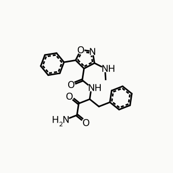 CNc1noc(-c2ccccc2)c1C(=O)NC(Cc1ccccc1)C(=O)C(N)=O